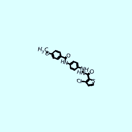 COc1ccc(C(=O)Nc2ccc(NNC(=O)c3sccc3Cl)cc2)cc1